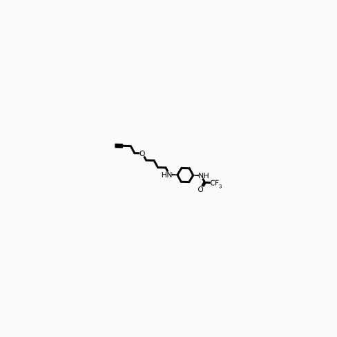 C#CCCOCCCCN[C@H]1CC[C@@H](NC(=O)C(F)(F)F)CC1